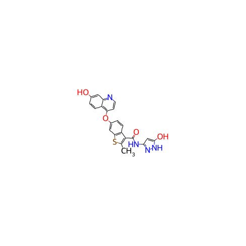 Cc1sc2cc(Oc3ccnc4cc(O)ccc34)ccc2c1C(=O)Nc1cc(O)[nH]n1